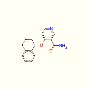 NC(=O)c1cnccc1OC1CCCc2ccccc21